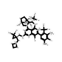 Cc1c(F)c(N)cc(-c2nc3c4c(nc(OC[C@@]5(CN6CCC6)CC5(F)F)nc4c2F)N2C[C@H]4CC[C@H](N4)[C@H]2[C@H](C(F)(F)F)O3)c1C(F)(F)F